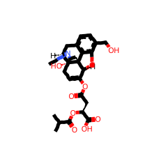 CC(C)C(=O)O[C@@H](CC(=O)OC1=CC[C@@]2(O)[C@H]3Cc4ccc(CO)c5c4[C@@]2(CCN3C)[C@H]1O5)C(=O)O